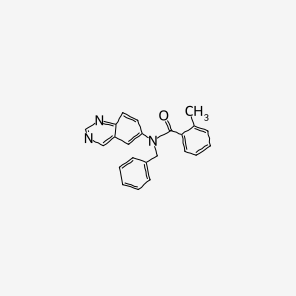 Cc1ccccc1C(=O)N(Cc1ccccc1)c1ccc2ncncc2c1